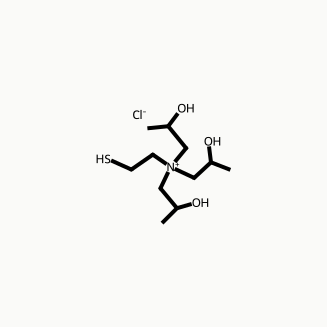 CC(O)C[N+](CCS)(CC(C)O)CC(C)O.[Cl-]